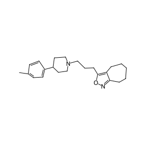 Cc1ccc(C2CCN(CCCc3onc4c3CCCCC4)CC2)cc1